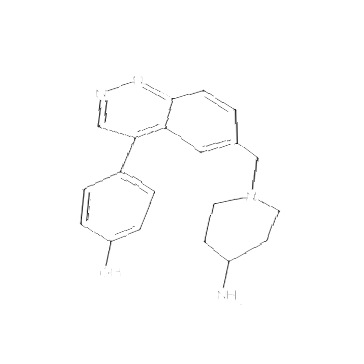 NC1CCN(Cc2ccc3nncc(-c4ccc(O)cc4)c3c2)CC1